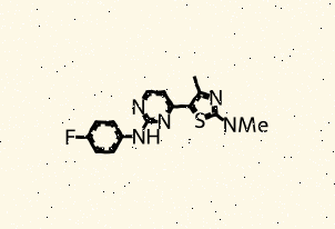 CNc1nc(C)c(-c2ccnc(Nc3ccc(F)cc3)n2)s1